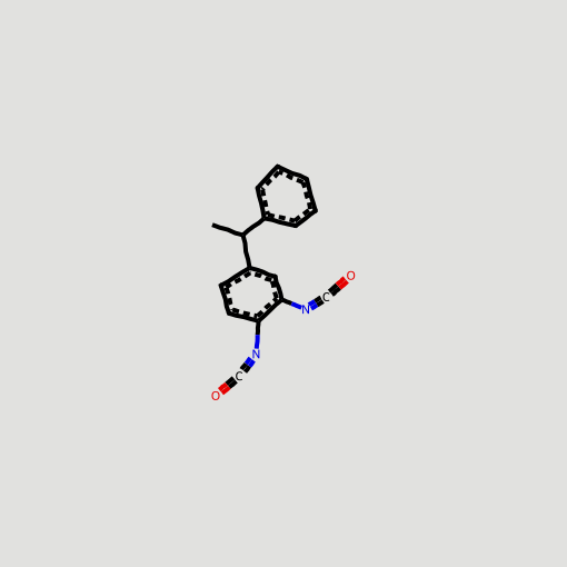 CC(c1ccccc1)c1ccc(N=C=O)c(N=C=O)c1